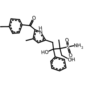 Cc1ccc(C(=O)c2[nH]c(CC(O)(c3ccccc3)C(C)(CO)S(N)(=O)=O)cc2C)cc1